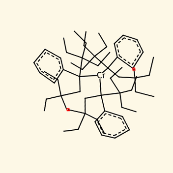 CCC(C)(CC)C[C](c1ccccc1)([Cr]([C](CC(C)(CC)CC)(c1ccccc1)C(CC)(CC)CC)[C](CC(C)(CC)CC)(c1ccccc1)C(CC)(CC)CC)C(CC)(CC)CC